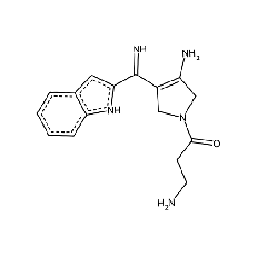 N=C(C1=C(N)CN(C(=O)CCN)C1)c1cc2ccccc2[nH]1